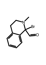 CN1CCc2ccccc2C1(Br)C=O